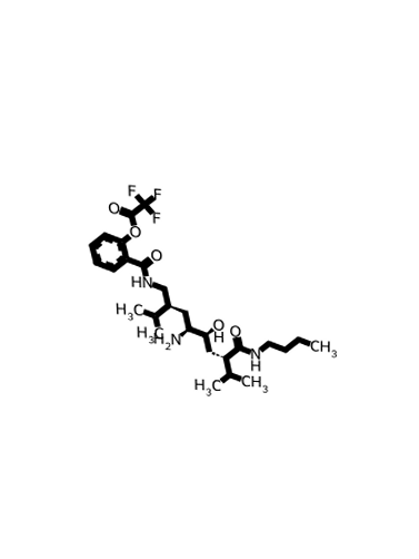 CCCCNC(=O)[C@@H](C[C@H](O)[C@@H](N)C[C@H](CNC(=O)c1ccccc1OC(=O)C(F)(F)F)C(C)C)C(C)C